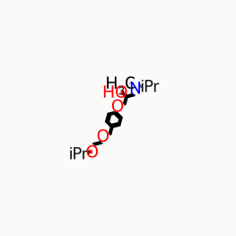 CC(C)OCCOCc1ccc(OCC(O)CN(C)C(C)C)cc1